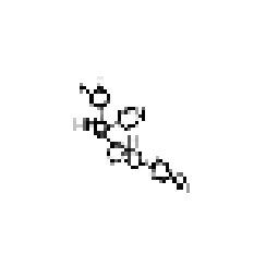 CCOc1ccc([C@@H]2C[C@H]3C=C(c4c[nH]c(-c5ccc(F)c(F)c5)c4-c4ccncc4)CCN3C2)cc1